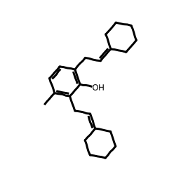 Cc1ccc(CC=C2CCCCC2)c(O)c1CC=C1CCCCC1